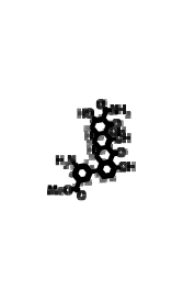 COC(=O)c1cc(N)cc(-c2ccc(O)c3c2C[C@H]2C[C@H]4CC(O)=C(C(N)=O)C(=O)[C@@]4(O)C(O)=C2C3=O)c1